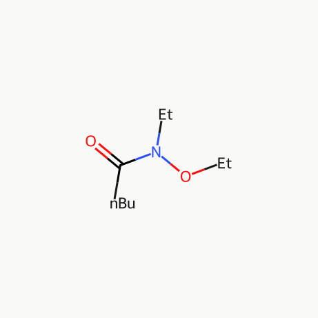 CCCCC(=O)N(CC)OCC